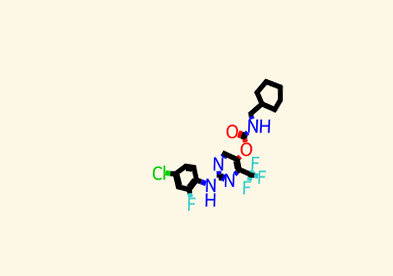 O=C(NCC1CCCCC1)Oc1cnc(Nc2ccc(Cl)cc2F)nc1C(F)(F)F